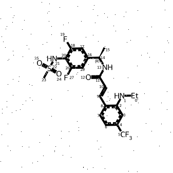 CCNc1cc(C(F)(F)F)ccc1C=CC(=O)N[C@H](C)c1cc(F)c(NS(C)(=O)=O)c(F)c1